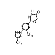 O=C1COC(c2ccc(-n3cc(C(F)(F)F)cn3)c(C(F)(F)F)c2)=NN1